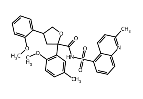 COc1ccccc1C1COC(C(=O)NS(=O)(=O)c2cccc3nc(C)ccc23)(c2cc(C)ccc2OC)C1